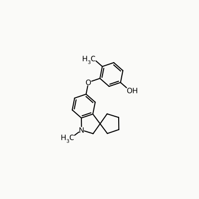 Cc1ccc(O)cc1Oc1ccc2c(c1)C1(CCCC1)CN2C